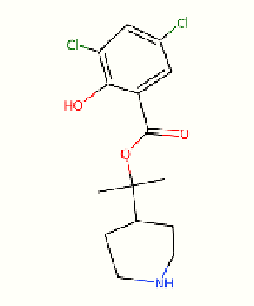 CC(C)(OC(=O)c1cc(Cl)cc(Cl)c1O)C1CCNCC1